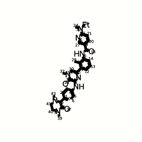 C=C(/C=C\C(=C/C)Nc1nc(-c2cccc(NC(=O)c3ccc(N(C)CC)nc3)c2C)cn(C)c1=O)C1C(=O)N(C)CCN1C